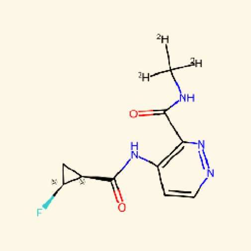 [2H]C([2H])([2H])NC(=O)c1nnccc1NC(=O)[C@@H]1C[C@@H]1F